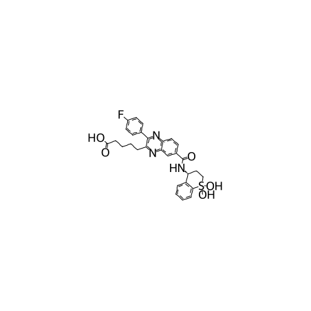 O=C(O)CCCCc1nc2cc(C(=O)N[C@H]3CCS(O)(O)c4ccccc43)ccc2nc1-c1ccc(F)cc1